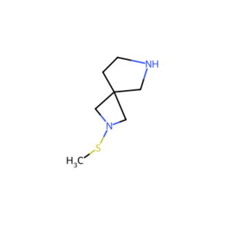 CSN1CC2(CCNC2)C1